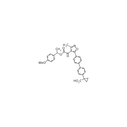 COc1ccc(C(C)OC(=O)Nc2c(C)noc2-c2ccc(-c3ccc(C4(C(=O)O)CC4)cc3)cc2)cc1